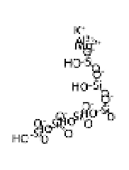 O=[Si]([O-])O.O=[Si]([O-])O.O=[Si]([O-])O.O=[Si]([O-])O.O=[Si]([O-])O.O=[Si]([O-])O.[Al+3].[K+].[Mg+2]